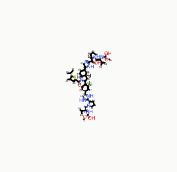 COC(O)N[C@H](CN1CCC[C@H]1C1NC[C@H]([C@@H]2C=C(F)[C@H]3C(C2)OC(C2=CC(C)[C@H](C(C)C)S2)N2C3C[C@@H]3CC(C4CN=C(C(C)[C@@]5(C)CCCN5[C@H](O)[C@@H](NC(O)OC)C(C)C)N4)=CC[C@@H]32)N1)C(C)C